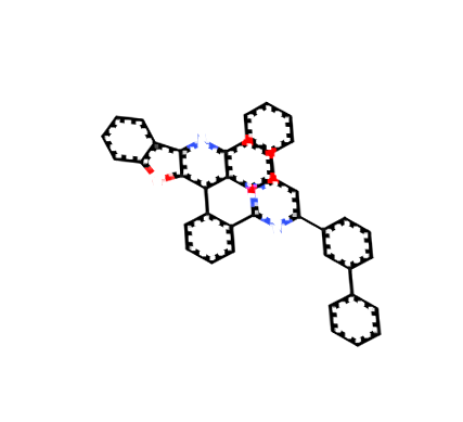 c1ccc(-c2cccc(-c3cc(-c4ccccc4)nc(-c4ccccc4-c4c5ccccc5nc5c4oc4ccccc45)n3)c2)cc1